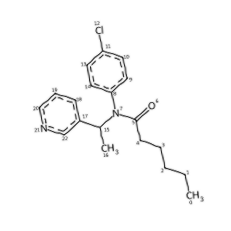 CCCCCC(=O)N(c1ccc(Cl)cc1)C(C)c1cccnc1